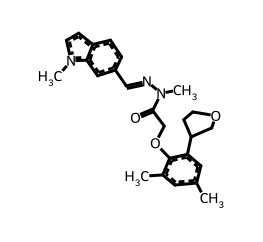 Cc1cc(C)c(OCC(=O)N(C)/N=C/c2ccc3ccn(C)c3c2)c(C2CCOC2)c1